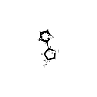 F[C@H]1CN[C@H](c2ncco2)C1